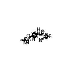 Cc1nnc(NC(=O)C23CCC(NCC(=O)N4C[C@@H](F)C[C@H]4C#N)(CC2)CC3)o1